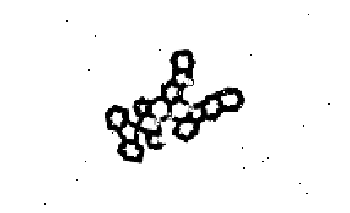 c1ccc2c(c1)-c1ccccc1C21c2ccccc2N2B3c4c(cc5c(oc6ccccc65)c4-n4c5cc6ccccc6cc5c5cccc3c54)-c3cccc1c32